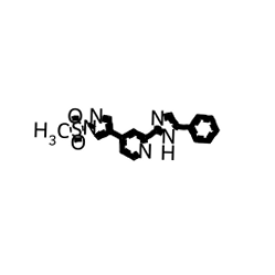 CS(=O)(=O)n1cc(-c2ccnc(-c3ncc(-c4ccccc4)[nH]3)c2)cn1